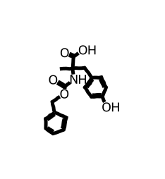 CC(Cc1ccc(O)cc1)(NC(=O)OCc1ccccc1)C(=O)O